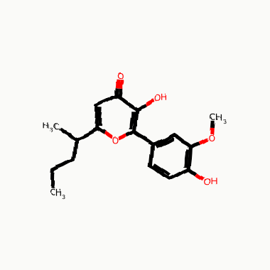 CCCC(C)c1cc(=O)c(O)c(-c2ccc(O)c(OC)c2)o1